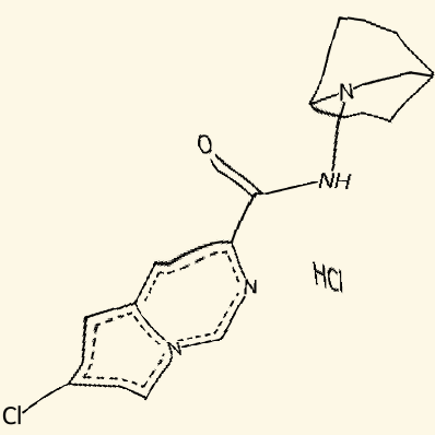 Cl.O=C(NN1CC2CCC1CC2)c1cc2cc(Cl)cn2cn1